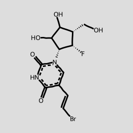 O=c1[nH]c(=O)n([C@@H]2C(O)C(O)[C@H](CO)[C@@H]2F)cc1/C=C/Br